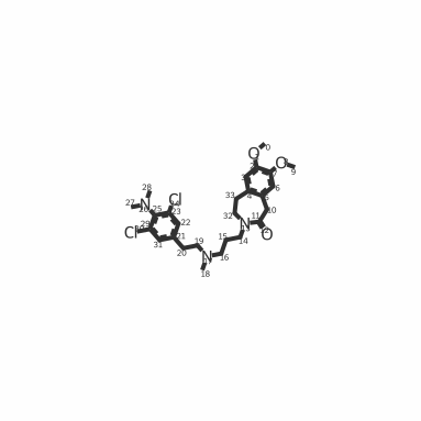 COc1cc2c(cc1OC)CC(=O)N(CCCN(C)CCc1cc(Cl)c(N(C)C)c(Cl)c1)CC2